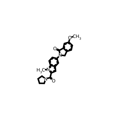 COc1ccc2c(c1)C(=O)N(c1ccc3c(c1)cc(C(=O)N1CCCC1)n3C)C2